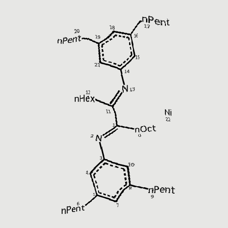 CCCCCCCCC(=N\c1cc(CCCCC)cc(CCCCC)c1)/C(CCCCCC)=N/c1cc(CCCCC)cc(CCCCC)c1.[Ni]